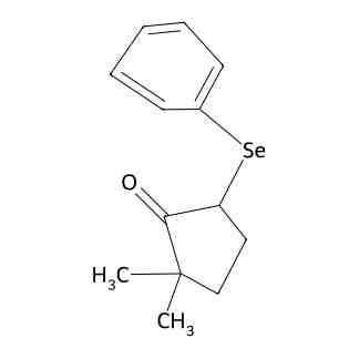 CC1(C)CCC([Se]c2ccccc2)C1=O